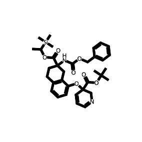 CC(OC(=O)C1(NC(=O)OCc2ccccc2)CCc2cccc(OC3(C(=O)OC(C)(C)C)C=CC=NC3)c2C1)[Si](C)(C)C